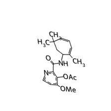 COc1ccnc(C(=O)NC2CC(C)(C)C=CC=C2C)c1OC(C)=O